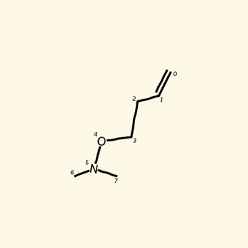 C=CCCON(C)C